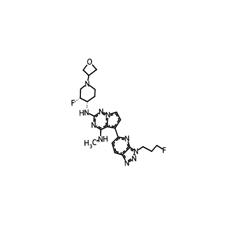 CNc1nc(N[C@H]2CCN(C3COC3)C[C@H]2F)nn2ccc(-c3ccc4nnn(CCCF)c4n3)c12